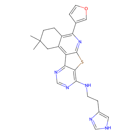 CC1(C)CCc2c(-c3ccoc3)nc3sc4c(NCCc5c[nH]cn5)ncnc4c3c2C1